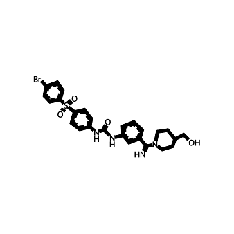 N=C(c1cccc(NC(=O)Nc2ccc(S(=O)(=O)c3ccc(Br)cc3)cc2)c1)N1CCC(CO)CC1